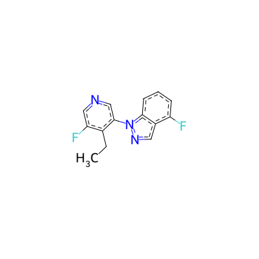 CCc1c(F)cncc1-n1ncc2c(F)cccc21